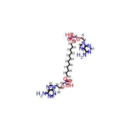 C[C@H](Cn1cnc2c(N)ncnc21)OCP(=O)(O)OCCCCCCCCCCCCOP(=O)(O)CO[C@H](C)Cn1cnc2c(N)ncnc21